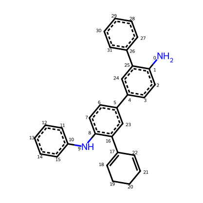 Nc1ccc(-c2ccc(Nc3ccccc3)c(C3=CCCC=C3)c2)cc1-c1ccccc1